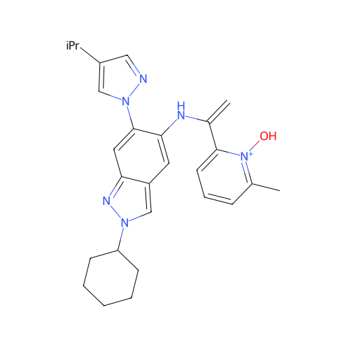 C=C(Nc1cc2cn(C3CCCCC3)nc2cc1-n1cc(C(C)C)cn1)c1cccc(C)[n+]1O